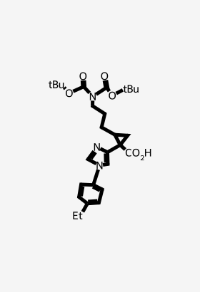 CCc1ccc(-n2cnc(C3(C(=O)O)CC3CCCN(C(=O)OC(C)(C)C)C(=O)OC(C)(C)C)c2)cc1